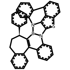 c1ccc([C@@H]2CCc3ccccc3C3=C2B2N(c4ccccc43)c3sc4cccc5c4c3N2c2ccccc2-5)cc1